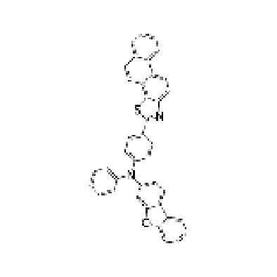 c1ccc(N(c2ccc(-c3nc4ccc5c6ccccc6ccc5c4s3)cc2)c2ccc3c(c2)oc2ccccc23)cc1